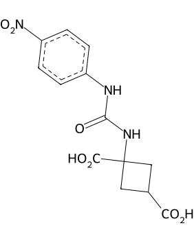 O=C(Nc1ccc([N+](=O)[O-])cc1)NC1(C(=O)O)CC(C(=O)O)C1